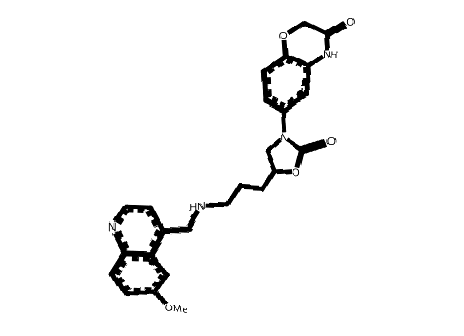 COc1ccc2nccc(CNCCCC3CN(c4ccc5c(c4)NC(=O)CO5)C(=O)O3)c2c1